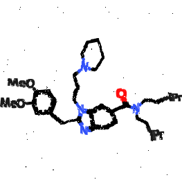 COc1ccc(Cc2nc3ccc(C(=O)N(CCC(C)C)CCC(C)C)cc3n2CCCN2CCCCC2)cc1OC